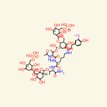 CC(=O)N[C@H](C(=O)N[C@@H](CCCCNC(=O)CCc1ccc(O)c([123I])c1)C(=O)NC(C(N)=O)C(C)OC1OC2(OC(O)[C@H]3C[C@@H](O)[C@H](O)C(COP(=O)(O)O)C3O)C(CO)[C@@H](O)[C@H](O)C[C@H]12)[C@@H](C)OC(O)[C@H]1C[C@@H](O)[C@H](O)C(CO)C1OC1OC2(O)C1C[C@@H](O)[C@H](O)C2COP(=O)(O)O